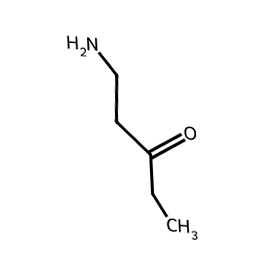 CCC(=O)CCN